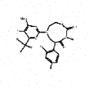 COc1nc(N2CCNC(=N)N(C)C(=O)[C@@H](c3ccc(F)cc3F)C2)nc(C(C)(F)F)c1F